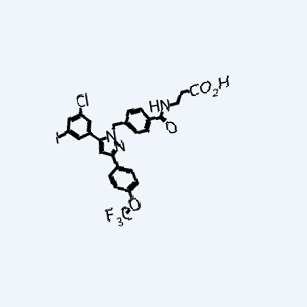 O=C(O)CCNC(=O)c1ccc(Cn2nc(-c3ccc(OC(F)(F)F)cc3)cc2-c2cc(Cl)cc(I)c2)cc1